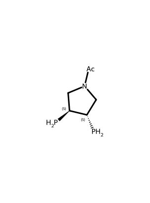 CC(=O)N1C[C@H](P)[C@@H](P)C1